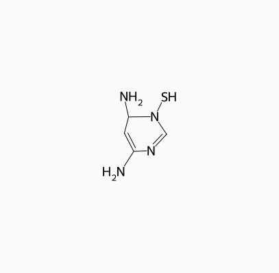 NC1=CC(N)N(S)C=N1